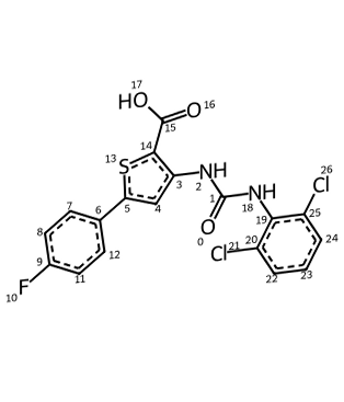 O=C(Nc1cc(-c2ccc(F)cc2)sc1C(=O)O)Nc1c(Cl)cccc1Cl